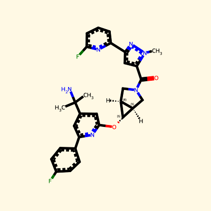 Cn1nc(-c2cccc(F)n2)cc1C(=O)N1C[C@@H]2[C@H](C1)[C@H]2Oc1cc(C(C)(C)N)cc(-c2ccc(F)cc2)n1